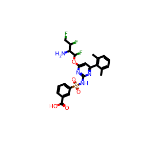 Cc1cccc(C)c1-c1cc(OC(F)C(N)C(F)CF)nc(NS(=O)(=O)c2cccc(C(=O)O)c2)n1